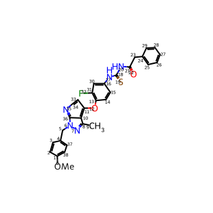 COc1ccc(Cn2nc(C)c3c(Oc4ccc(NC(=S)NC(=O)Cc5ccccc5)cc4F)ccnc32)cc1